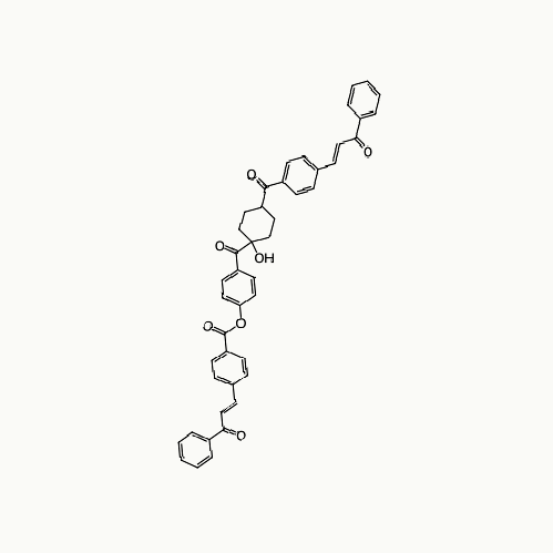 O=C(/C=C/c1ccc(C(=O)Oc2ccc(C(=O)C3(O)CCC(C(=O)c4ccc(/C=C/C(=O)c5ccccc5)cc4)CC3)cc2)cc1)c1ccccc1